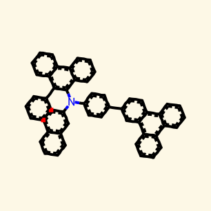 c1ccc(-c2c(N(c3ccc(-c4ccc5c6ccccc6c6ccccc6c5c4)cc3)c3ccc4ccccc4c3)c3ccccc3c3ccccc23)cc1